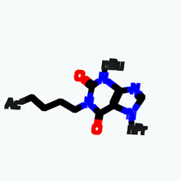 CCCCn1c(=O)n(CCCCC(C)=O)c(=O)c2c1ncn2CCC